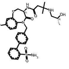 C[C@@H](O)CNC(C)(C)CC(=O)N[C@@H]1CSc2cc(F)ccc2N(Cc2ccc(-c3ccccc3S(N)(=O)=O)cc2)C1=O